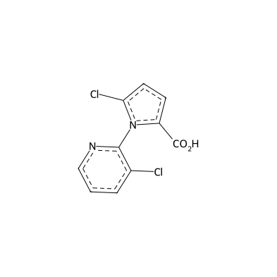 O=C(O)c1ccc(Cl)n1-c1ncccc1Cl